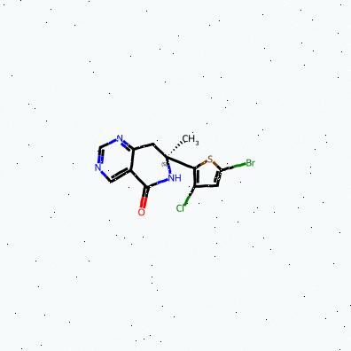 C[C@@]1(c2sc(Br)cc2Cl)Cc2ncncc2C(=O)N1